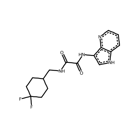 O=C(NCC1CCC(F)(F)CC1)C(=O)Nc1c[nH]c2cccnc12